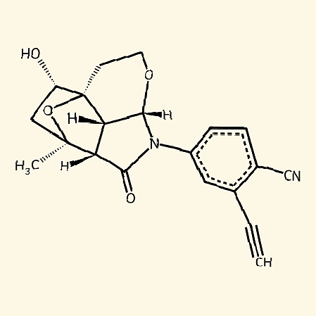 C#Cc1cc(N2C(=O)[C@H]3[C@H]4[C@@H]2OCC[C@@]42O[C@]3(C)C[C@@H]2O)ccc1C#N